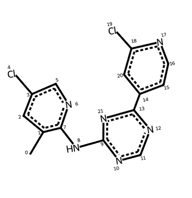 Cc1cc(Cl)cnc1Nc1ncnc(-c2ccnc(Cl)c2)n1